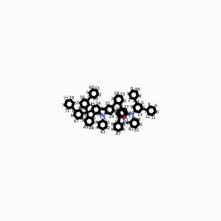 c1ccc(-c2cc(-c3ccccc3)cc(N(c3cccc(-c4ccccc4-c4ccc5c(c4)c4ccc6c(c4n5-c4ccccc4)-c4ccccc4C6(c4cccc(-c5ccccc5)c4)c4cccc(-c5ccccc5)c4)c3)c3ccccc3-n3c4ccccc4c4ccccc43)c2)cc1